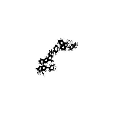 Cc1cc2c(N3CCCc4cc(-c5cnn(C6CCN(c7ccc8c9c(cccc79)C(=O)N8C7CCC(=O)NC7=O)CC6)c5)c(C(F)F)cc43)cc(C3CCOCC3)cc2n(C)c1=O